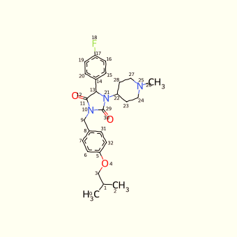 CC(C)COc1ccc(CN2C(=O)C(c3ccc(F)cc3)N(C3CCN(C)CC3)C2=O)cc1